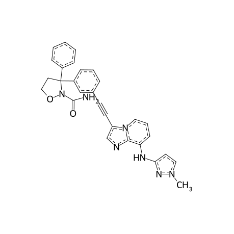 Cn1ccc(Nc2cccn3c(C#Cc4cccc(C5(c6ccccc6)CCON5C(N)=O)c4)cnc23)n1